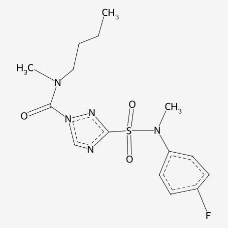 CCCCN(C)C(=O)n1cnc(S(=O)(=O)N(C)c2ccc(F)cc2)n1